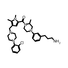 Cc1c(CN2CCN(c3ccccc3Cl)CC2)cc(C(=O)N2CCN(c3cccc(CCCN)c3)CC2C)n1C